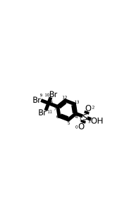 O=S(=O)(O)c1ccc(C(Br)(Br)Br)cc1